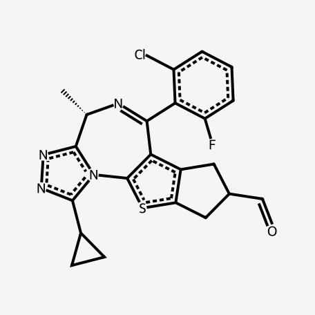 C[C@@H]1N=C(c2c(F)cccc2Cl)c2c(sc3c2CC(C=O)C3)-n2c(C3CC3)nnc21